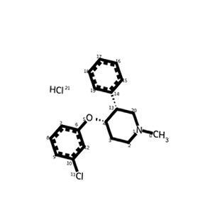 CN1CC[C@H](Oc2cccc(Cl)c2)[C@H](c2ccccc2)C1.Cl